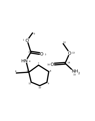 COC(=O)NC1(C)CCCCC1.COC(N)=O